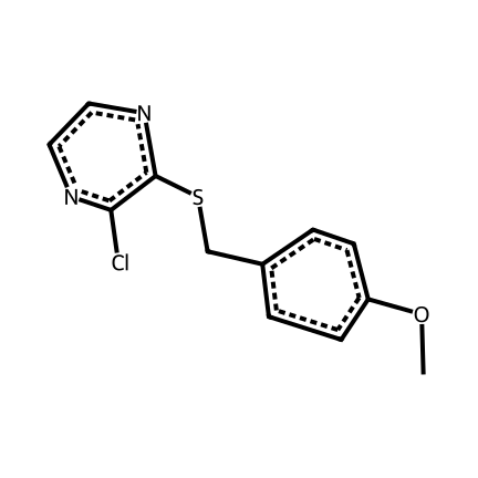 COc1ccc(CSc2nccnc2Cl)cc1